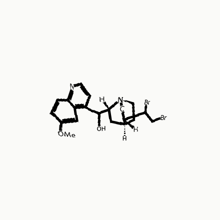 COc1ccc2nccc(C(O)[C@H]3C[C@@H]4CC[N@@]3C[C@@H]4C(Br)CBr)c2c1